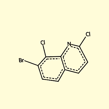 Clc1ccc2ccc(Br)c(Cl)c2n1